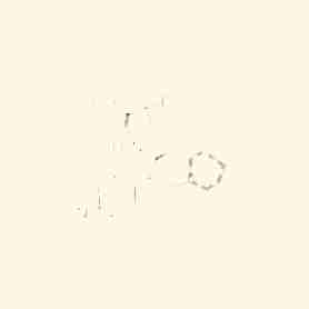 NC(=O)C(Oc1ccc(Cl)cc1)C1CCC(N)CC1.O=C(O)C(F)(F)F